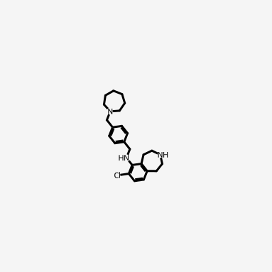 Clc1ccc2c(c1NCc1ccc(CN3CCCCCC3)cc1)CCNCC2